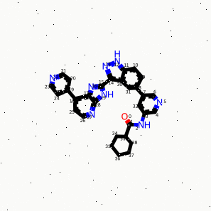 O=C(Nc1cncc(-c2ccc3[nH]nc(-c4nc5c(-c6ccncc6)ccnc5[nH]4)c3c2)c1)C1CCCCC1